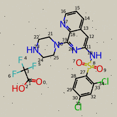 O=C(O)C(F)(F)F.O=S(=O)(Nc1cc2cccnc2c(N2CCNCC2)n1)c1ccc(Cl)cc1Cl